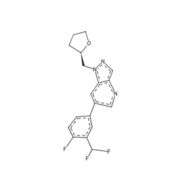 Fc1ccc(-c2cnc3cnn(C[C@H]4CCCO4)c3c2)cc1C(F)F